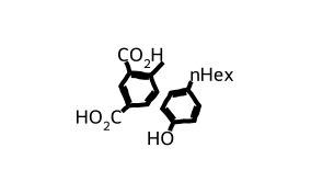 CCCCCCc1ccc(O)cc1.Cc1ccc(C(=O)O)cc1C(=O)O